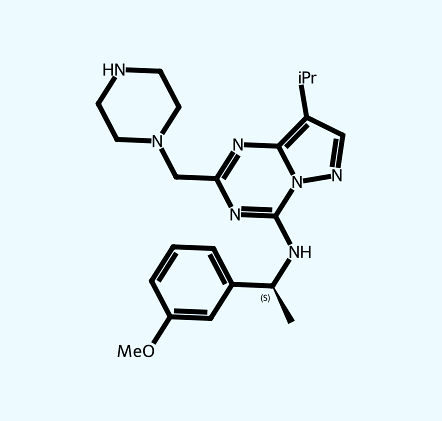 COc1cccc([C@H](C)Nc2nc(CN3CCNCC3)nc3c(C(C)C)cnn23)c1